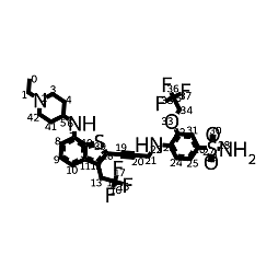 CCN1CCC(Nc2cccc3c(CC(F)(F)F)c(C#CCNc4ccc(S(N)(=O)=O)cc4OCC(F)(F)F)sc23)CC1